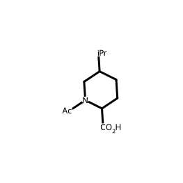 CC(=O)N1CC(C(C)C)CCC1C(=O)O